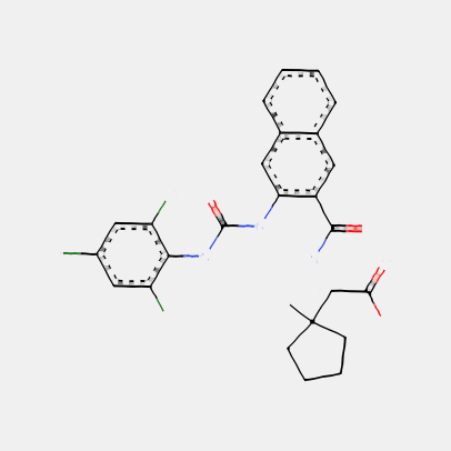 CC1([C@H](NC(=O)c2cc3ccccc3cc2NC(=O)Nc2c(Cl)cc(Cl)cc2Cl)C(=O)O)CCCC1